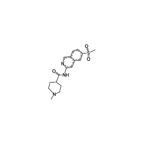 CN1CCC(C(=O)Nc2cc3cc(S(C)(=O)=O)ccc3cn2)CC1